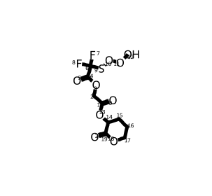 O=C(COC(=O)C(F)(F)SOOO)OC1CCCOC1=O